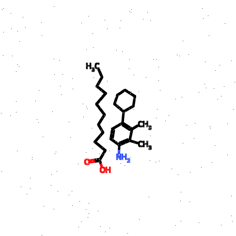 CCCCCCCCCCC(=O)O.Cc1c(N)ccc(C2CCCCC2)c1C